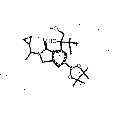 CC(C1CC1)N1Cc2cc(B3OC(C)(C)C(C)(C)O3)cc(C(O)(CO)C(F)(F)F)c2C1=O